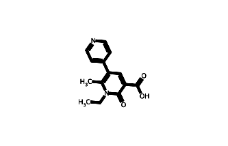 CCn1c(C)c(-c2ccncc2)cc(C(=O)O)c1=O